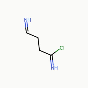 N=CCCC(=N)Cl